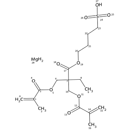 C=C(C)C(=O)OCC(CC)(COC(=O)C(=C)C)C(=O)OCCCCS(=O)(=O)O.[MgH2]